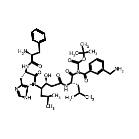 CC(C)CC(NC(=O)[C@H](Cc1c[nH]cn1)NC(=O)[C@@H](N)Cc1ccccc1)[C@@H](O)CC(=O)N[C@@H](CC(C)C)C(=O)N(C(=O)OC(C)(C)C)C(=O)c1cccc(CN)c1